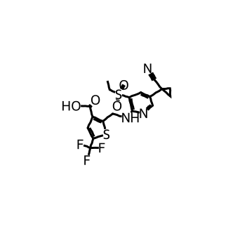 CCS(=O)(=O)c1cc(C2(C#N)CC2)cnc1NCc1sc(C(F)(F)F)cc1C(=O)O